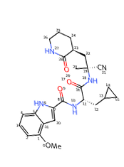 COc1cccc2[nH]c(C(=O)N[C@@H](CC3CC3)C(=O)N[C@](C)(C#N)C[C@@H]3CCCNC3=O)cc12